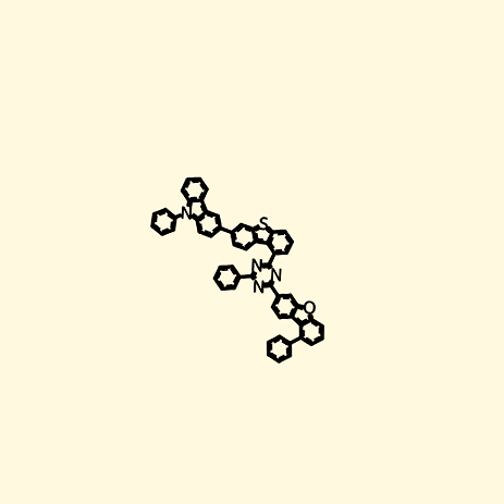 c1ccc(-c2nc(-c3ccc4c(c3)oc3cccc(-c5ccccc5)c34)nc(-c3cccc4sc5cc(-c6ccc7c(c6)c6ccccc6n7-c6ccccc6)ccc5c34)n2)cc1